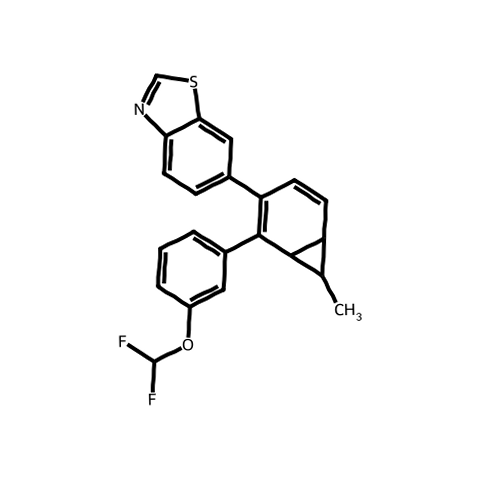 CC1C2C=CC(c3ccc4ncsc4c3)=C(c3cccc(OC(F)F)c3)C12